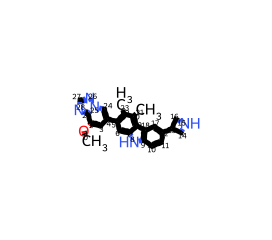 COc1cc(-c2cc3[nH]c4ccc(C5CNC5)cc4c3c(C)c2C)cn2ncnc12